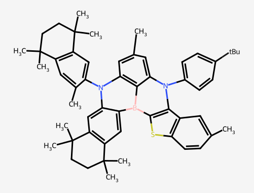 Cc1cc2c3c(c1)N(c1ccc(C(C)(C)C)cc1)c1c(sc4ccc(C)cc14)B3c1cc3c(cc1N2c1cc2c(cc1C)C(C)(C)CCC2(C)C)C(C)(C)CCC3(C)C